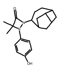 CC1(C)C(=O)N(C2CCC3CC4CC2CC34)N1c1ccc(O)cc1